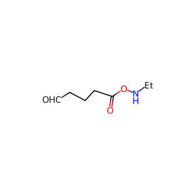 CCNOC(=O)CCCC=O